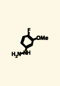 COc1cc(NN)ccc1F